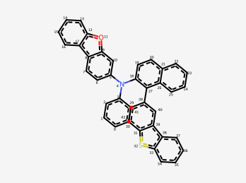 c1ccc(N(c2ccc3c(c2)oc2ccccc23)c2ccc3ccccc3c2-c2ccc3sc4ccccc4c3c2)cc1